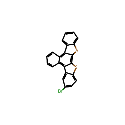 Brc1ccc2sc3c4sc5ccccc5c4c4ccccc4c3c2c1